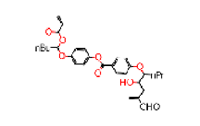 C=CC(=O)OC(CCCC)Oc1ccc(OC(=O)c2ccc(OC(CCC)C(O)CC(=C)C=O)cc2)cc1